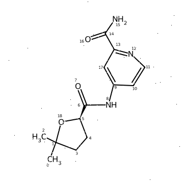 CC1(C)CC[C@H](C(=O)Nc2ccnc(C(N)=O)c2)O1